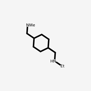 CCNCC1CCC(CNC)CC1